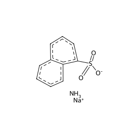 N.O=S(=O)([O-])c1cccc2ccccc12.[Na+]